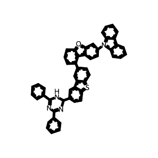 c1ccc(C2=NC(c3ccc4sc5ccc(-c6cccc7oc8cc(-n9c%10ccccc%10c%10ccccc%109)ccc8c67)cc5c4c3)NC(c3ccccc3)=N2)cc1